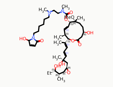 CC[C@H](O)[C@@H](C)[C@H]1O[C@@H]1C[C@@](C)(O)/C=C/C=C(\C)[C@H]1OC(=O)C[C@H](O)CC[C@@](C)(OC)[C@@H](OC(=O)N(C)CCN(C)CCCCCCN2C(=O)C=CC2O)/C=C/[C@@H]1C